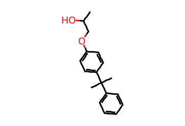 CC(O)COc1ccc(C(C)(C)c2ccccc2)cc1